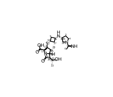 CC(=N)N1CC[C@@H](N[C@H]2C[C@@H](SC3=C(C(=O)O)N4C(=O)[C@H]([C@@H](C)O)[C@H]4[C@H]3C)C2)C1